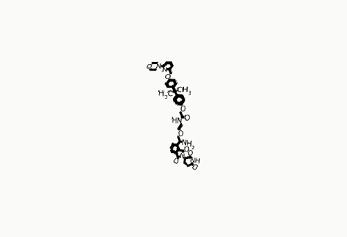 CC(C)(c1ccc(OCC(=O)NCCOCC(N)c2cccc3c2C(=O)N(C2CCC(=O)NC2=O)C3=O)cc1)c1ccc(OCc2cccc(N3CCOCC3)n2)cc1